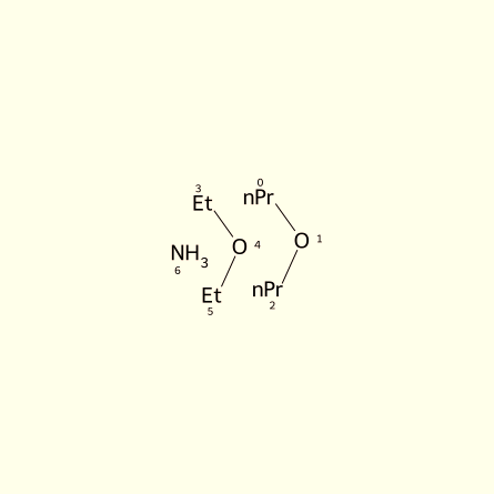 CCCOCCC.CCOCC.N